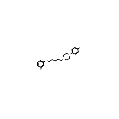 O=[N+]([O-])c1cccc(OCCCCCN2CCN(c3ccc(F)cc3)CC2)c1